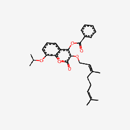 CC(C)=CCCC(C)=CCOc1c(OC(=O)c2ccccc2)c2cccc(OC(C)C)c2oc1=O